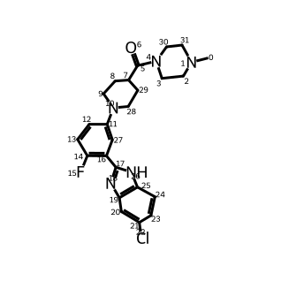 CN1CCN(C(=O)C2CCN(c3ccc(F)c(-c4nc5cc(Cl)ccc5[nH]4)c3)CC2)CC1